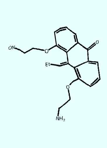 CCC=C1c2c(OCCN)cccc2C(=O)c2cccc(OCCN=O)c21